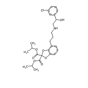 CC(C)OC(=O)C1(C(=O)OC(C)C)Oc2cccc(CCCNCC(O)c3cccc(Cl)c3)c2O1